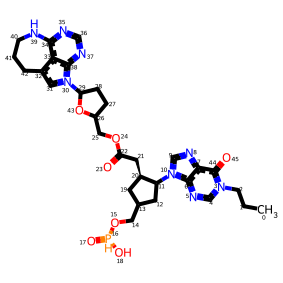 CCCn1cnc2c(ncn2C2CC(CO[PH](=O)O)C[C@H]2CC(=O)OCC2CCC(n3cc4c5c(ncnc53)NCCC4)O2)c1=O